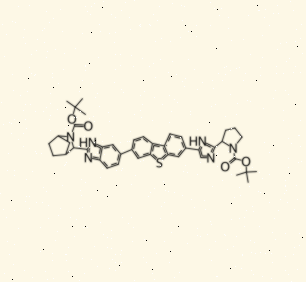 CC(C)(C)OC(=O)N1CCCC1c1ncc(-c2ccc3c(c2)sc2cc(-c4ccc5nc(C6C7CCC(C7)N6C(=O)OC(C)(C)C)[nH]c5c4)ccc23)[nH]1